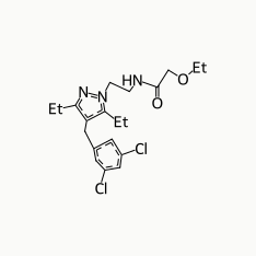 CCOCC(=O)NCCn1nc(CC)c(Cc2cc(Cl)cc(Cl)c2)c1CC